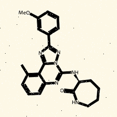 COc1cccc(-c2nc3c4c(C)cccc4nc(N[C@H]4CCCCNC4=O)n3n2)c1